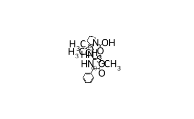 COC(=O)[C@@H](NC(=S)NC[C@@]1(C(C)(C)C)CCCN1C(=O)O)c1ccccc1